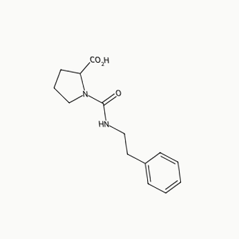 O=C(O)C1CCCN1C(=O)NCCc1ccccc1